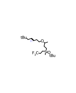 CC(CC[Si](C)(CCC(F)(F)F)OC(C)(C)C)OCC/C=C/CC(C)(C)C